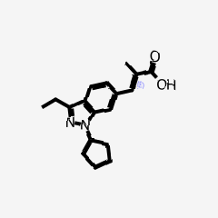 CCc1nn(C2CCCC2)c2cc(/C=C(\C)C(=O)O)ccc12